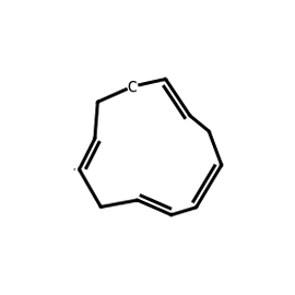 [C]1=C/CC/C=C/C/C=C\C=C\C/1